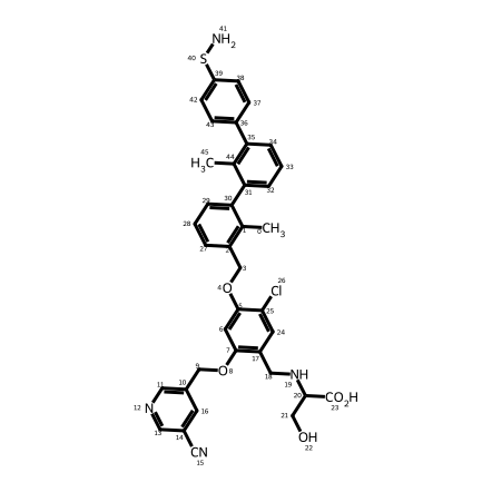 Cc1c(COc2cc(OCc3cncc(C#N)c3)c(CNC(CO)C(=O)O)cc2Cl)cccc1-c1cccc(-c2ccc(SN)cc2)c1C